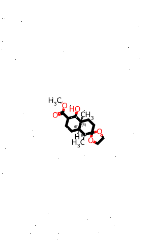 COC(=O)C1CC[C@@H]2[C@@H](C)C3(CC[C@@]2(C)C1O)OCCO3